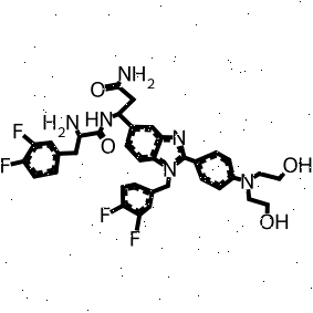 NC(=O)CC(NC(=O)C(N)Cc1ccc(F)c(F)c1)c1ccc2c(c1)nc(-c1ccc(N(CCO)CCO)cc1)n2Cc1ccc(F)c(F)c1